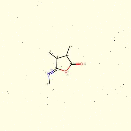 C/N=C1\OC(=O)C(C)C1C